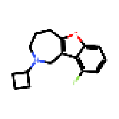 Fc1cccc2oc3c(c12)CN(C1CCC1)CCC3